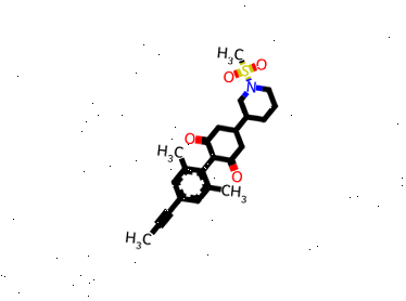 CC#Cc1cc(C)c(C2C(=O)CC(C3CCCN(S(C)(=O)=O)C3)CC2=O)c(C)c1